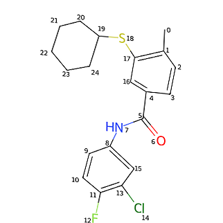 Cc1ccc(C(=O)Nc2ccc(F)c(Cl)c2)cc1SC1CCCCC1